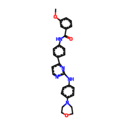 COc1cccc(C(=O)Nc2ccc(-c3ccnc(Nc4ccc(N5CCOCC5)cc4)n3)cc2)c1